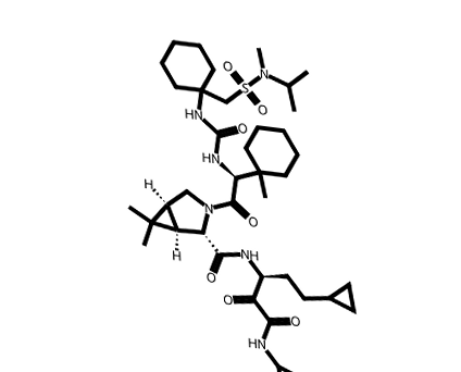 CC(C)N(C)S(=O)(=O)CC1(NC(=O)N[C@H](C(=O)N2C[C@H]3[C@@H]([C@H]2C(=O)N[C@@H](CCC2CC2)C(=O)C(=O)NC2CC2)C3(C)C)C2(C)CCCCC2)CCCCC1